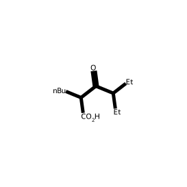 CCCCC(C(=O)O)C(=O)C(CC)CC